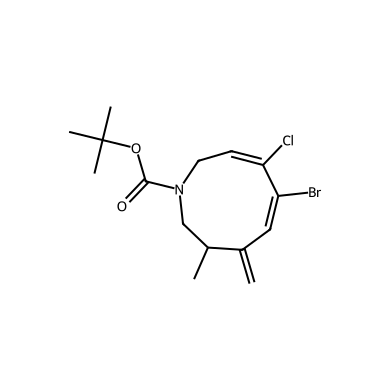 C=C1/C=C(Br)\C(Cl)=C/CN(C(=O)OC(C)(C)C)CC1C